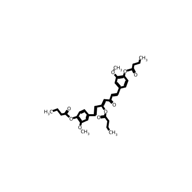 CCCC(=O)OC(=C\C(=O)/C=C/c1ccc(OC(=O)CCC)c(OC)c1)/C=C/c1ccc(OC(=O)CCC)c(OC)c1